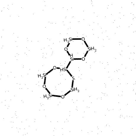 O1[SiH2]O[SiH]([SiH]2O[SiH2]O[SiH2]O[SiH2]S2)O[SiH2]1